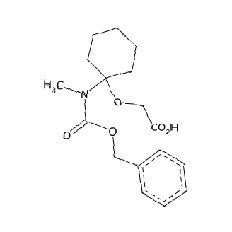 CN(C(=O)OCc1ccccc1)C1(OCC(=O)O)CCCCC1